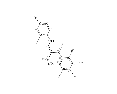 CCOC(=O)/C(=C/Nc1ccc(F)cc1F)C(=O)c1c(C)c(F)c(F)c(F)c1F